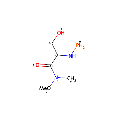 CON(C)C(=O)C(CO)NP